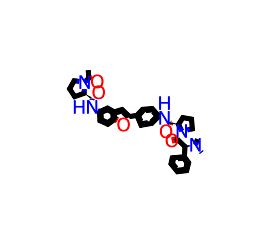 CC(=O)N1CCC[C@H]1C(=O)Nc1ccc2oc(-c3ccc(NC(=O)[C@@H]4CCCN4C(=O)[C@@H](c4ccccc4)N(C)C)cc3)cc2c1